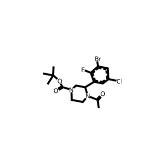 CC(=O)N1CCN(C(=O)OC(C)(C)C)CC1c1cc(Cl)cc(Br)c1F